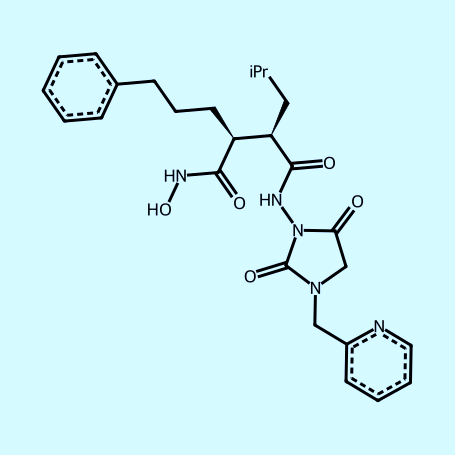 CC(C)C[C@@H](C(=O)NN1C(=O)CN(Cc2ccccn2)C1=O)[C@H](CCCc1ccccc1)C(=O)NO